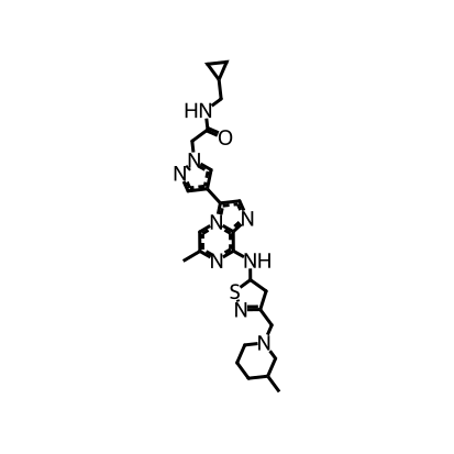 Cc1cn2c(-c3cnn(CC(=O)NCC4CC4)c3)cnc2c(NC2CC(CN3CCCC(C)C3)=NS2)n1